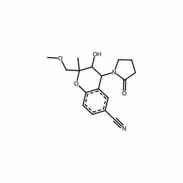 COCC1(C)Oc2ccc(C#N)cc2C(N2CCCC2=O)C1O